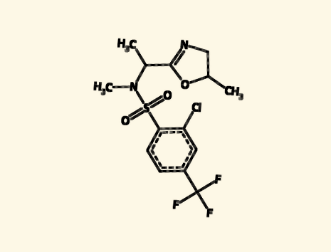 CC1CN=C(C(C)N(C)S(=O)(=O)c2ccc(C(F)(F)F)cc2Cl)O1